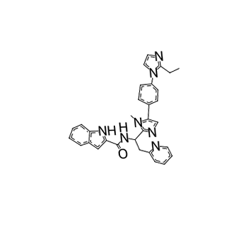 CCc1nccn1-c1ccc(-c2cnc(C(Cc3ccccn3)NC(=O)c3cc4ccccc4[nH]3)n2C)cc1